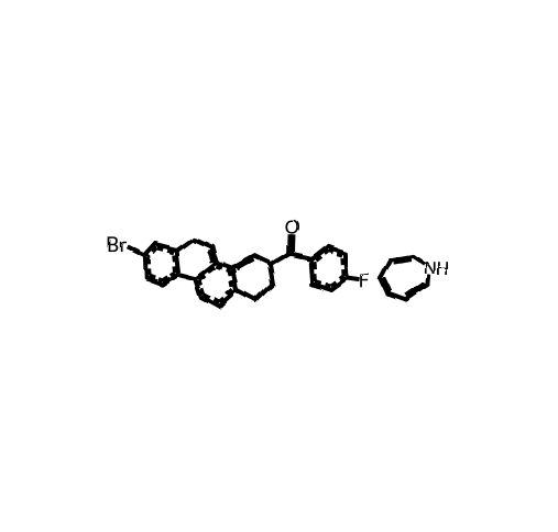 C1=CC=CNC=C1.O=C(c1ccc(F)cc1)C1C=c2c(ccc3c2=CCc2cc(Br)ccc2-3)CC1